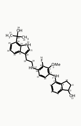 COc1c(Nc2cccc3c2CCC3O)ccc(NCCc2c[nH]c3c(C(C)(C)O)cccc23)c1F